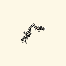 Cc1cccc(C(=O)NC2CC(n3cnc4c(Nc5ccc(N6CCN(CC7CCN(C(=O)C8CCN(c9cc%10c(cc9F)C(=O)N([C@H]9CCC(=O)NC9=O)C%10=O)CC8)CC7)CC6)cc5C)ncnc43)C2)n1